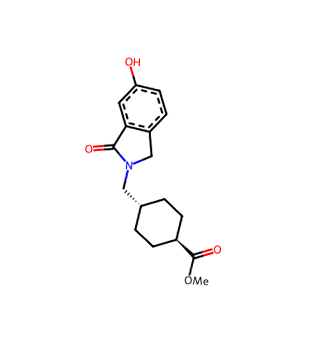 COC(=O)[C@H]1CC[C@H](CN2Cc3ccc(O)cc3C2=O)CC1